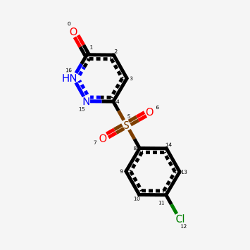 O=c1ccc(S(=O)(=O)c2ccc(Cl)cc2)n[nH]1